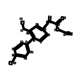 CC(C)(C)OC(=O)Nc1ccc(-c2ccc(Cl)cc2)c(CCl)c1